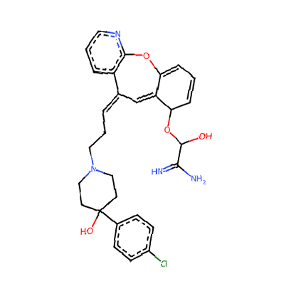 N=C(N)C(O)OC1C=CC=C2Oc3ncccc3C(=CCCN3CCC(O)(c4ccc(Cl)cc4)CC3)C=C21